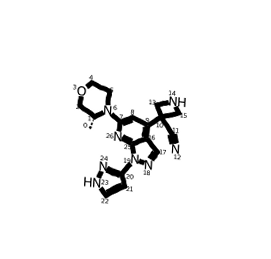 C[C@@H]1COCCN1c1cc(C2(C#N)CNC2)c2cnn(-c3cc[nH]n3)c2n1